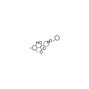 Cc1cc(C)c(C2=C(O)C3(CCN(OCc4ccccc4)CC3)OC2=O)c(C)c1